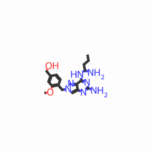 CCCC(N)Nc1nc(N)nc2cn(Cc3ccc(CO)cc3OC)nc12